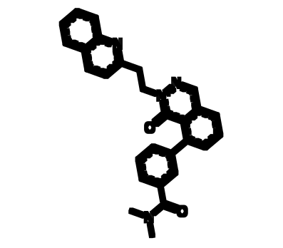 CN(C)C(=O)c1cccc(-c2cccc3cnn(CCc4ccc5ccccc5n4)c(=O)c23)c1